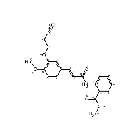 C#CCCOc1cc(/C=C/C(=O)Nc2ccccc2C(=O)ON)ccc1OC